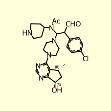 CC(=O)N(C1CCNCC1)C(C(C=O)c1ccc(Cl)cc1)N1CCN(c2ncnc3c2[C@H](C)C[C@H]3O)CC1